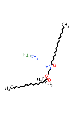 CCCCCCCCCCCCCCCCCC(=O)NCCCOC(=O)C(C)(C)CCCCCCCCCCCCCC.Cl.N